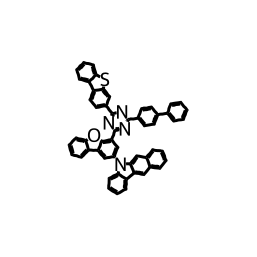 c1ccc(-c2ccc(-c3nc(-c4ccc5c(c4)sc4ccccc45)nc(-c4cc(-n5c6ccccc6c6cc7ccccc7cc65)cc5c4oc4ccccc45)n3)cc2)cc1